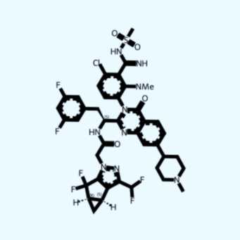 CNc1c(-n2c([C@H](Cc3cc(F)cc(F)c3)NC(=O)Cn3nc(C(F)F)c4c3C(F)(F)[C@@H]3C[C@H]43)nc3cc(C4CCN(C)CC4)ccc3c2=O)ccc(Cl)c1C(=N)NS(C)(=O)=O